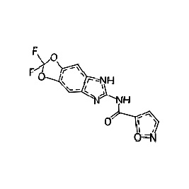 O=C(Nc1nc2cc3c(cc2[nH]1)OC(F)(F)O3)c1ccno1